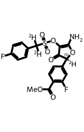 [2H]C([2H])(c1ccc(F)cc1)S(=O)(=O)OC1=C(N)O[C@@]([2H])(c2ccc(C(=O)OC)c(F)c2)C1=O